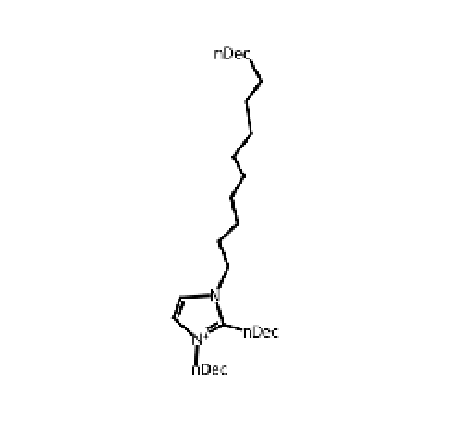 CCCCCCCCCCCCCCCCCCCn1cc[n+](CCCCCCCCCC)c1CCCCCCCCCC